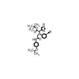 CC(C)Oc1ccc(NC(=O)CN(c2cccc(C#N)c2)C(C(=O)OC(C)(C)C)c2c[nH]cn2)cc1